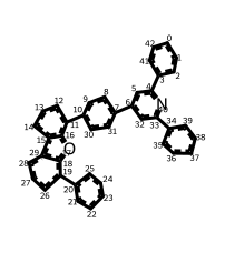 c1ccc(-c2cc(-c3ccc(-c4cccc5c4oc4c(-c6ccccc6)cccc45)cc3)cc(-c3ccccc3)n2)cc1